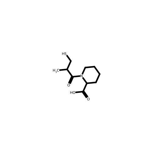 CC(CS)C(=O)N1CCCCC1C(=O)O